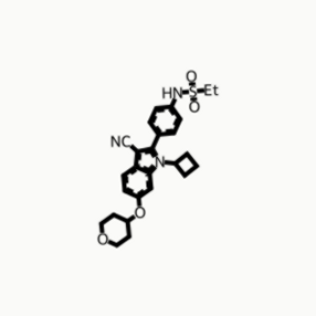 CCS(=O)(=O)Nc1ccc(-c2c(C#N)c3ccc(OC4CCOCC4)cc3n2C2CCC2)cc1